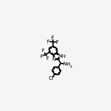 NC(c1ccc(Cl)cc1)c1nc2c(C(F)(F)F)cc(C(F)(F)F)cc2[nH]1